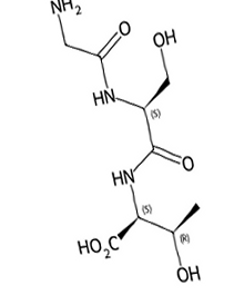 C[C@@H](O)[C@H](NC(=O)[C@H](CO)NC(=O)CN)C(=O)O